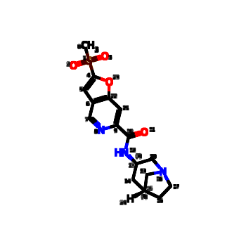 CS(=O)(=O)c1cc2cnc(C(=O)N[C@@H]3C[C@H]4CCN(C4)C3)cc2o1